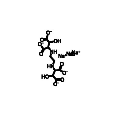 O=C([O-])C(O)C(NCCNC(C(=O)[O-])C(O)C(=O)[O-])C(=O)[O-].[Na+].[Na+].[Na+].[Na+]